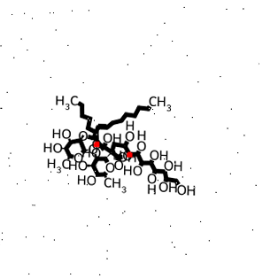 CCCCCCCC=CC(=O)O[C@H]1[C@H](O[C@@H]2[C@H](O)[C@@H](O)[C@H](C)O[C@H]2C(CC(O)C(O)C(O)C(O)C(O)C(O)C(O)C(O)CO)(C(=O)O)C(O)(O)CCCCCCC)O[C@@H](C)[C@H](O)[C@H]1O